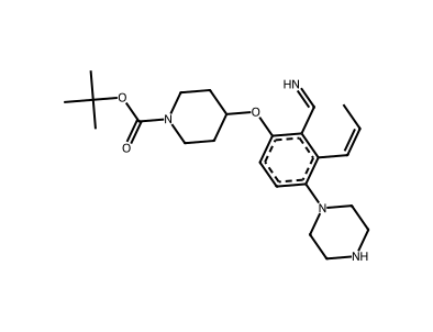 C/C=C\c1c(N2CCNCC2)ccc(OC2CCN(C(=O)OC(C)(C)C)CC2)c1C=N